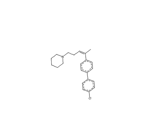 CC(=CCCN1CCCCC1)c1ccc(-c2ccc(Cl)cc2)cc1